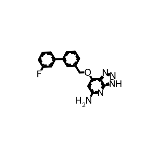 Nc1cc(OCc2cccc(-c3cccc(F)c3)c2)c2nn[nH]c2n1